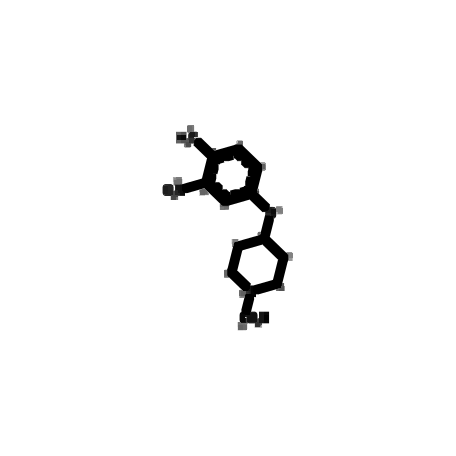 Cc1ccc(OC2CCN(C(=O)O)CC2)cc1[N+](=O)[O-]